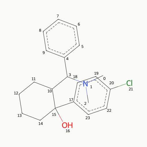 CN(C)C(c1ccccc1)C1CCCCC1(O)c1ccc(Cl)cc1